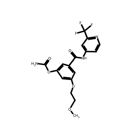 COCCOc1cc(OC(N)=O)cc(C(=O)Nc2ccnc(C(F)(F)F)c2)c1